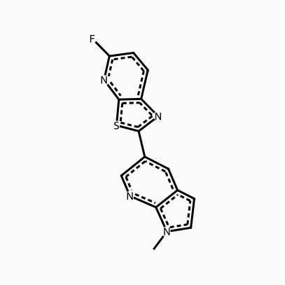 Cn1ccc2cc(-c3nc4ccc(F)nc4s3)cnc21